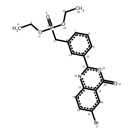 CCOP(=O)(Cc1cccc(-c2nc3ccc(Br)cc3c(=O)o2)c1)OCC